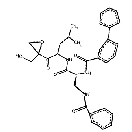 CC(C)CC(NC(=O)[C@H](CNC(=O)c1ccccc1)NC(=O)c1cccc(-c2ccccc2)c1)C(=O)C1(CO)CO1